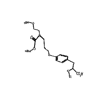 CCCCOCCN(CCCOc1ccc(CC(OCC)C(=O)O)cc1)C(=O)OCCCC